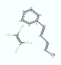 FC(F)=C(F)F.N#CC=CC=Cc1ccccc1